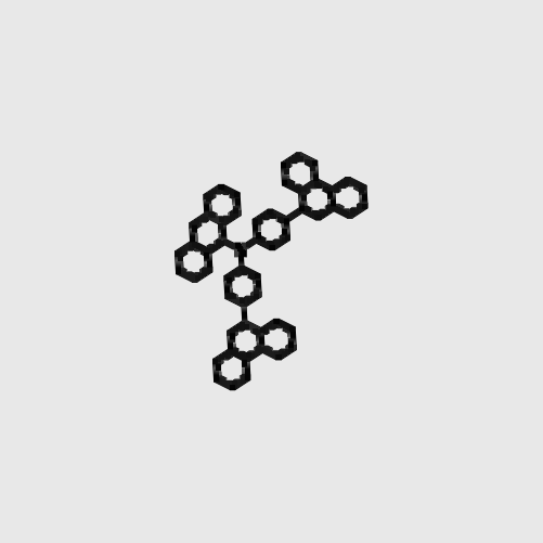 c1ccc2c(N(c3ccc(-c4cc5ccccc5c5ccccc45)cc3)c3ccc(-c4cc5ccccc5c5ccccc45)cc3)c3ccccc3cc2c1